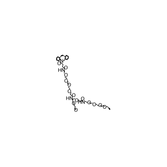 C#CCOCCOCCOCCOCCNC(=O)CCOCC(COCCC=O)NC(=O)CCOCCOCCOCCOCCNC(=O)CCC(=O)N1Cc2ccccc2C#Cc2ccccc21